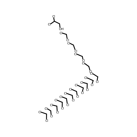 ClCCl.ClCCl.ClCCl.ClCCl.ClCCl.ClCCl.ClCCl.ClCCl.ClCCl.ClCCl.ClCCl.ClCCl.ClCCl.ClCCl.ClCCl.OCC(Cl)Cl